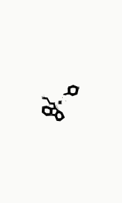 O=C(NCc1ccc(F)cc1F)OC1(CCCCBr)c2ccccc2-c2ccccc21